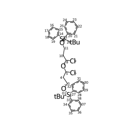 CC(C)(C)[Si](OCCC(Cl)OC(Cl)CCO[Si](c1ccccc1)(c1ccccc1)C(C)(C)C)(c1ccccc1)c1ccccc1